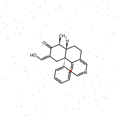 C[C@@H]1C(=O)/C(=C\O)C[C@]2(c3ccccc3)c3ncncc3CC[C@@H]12